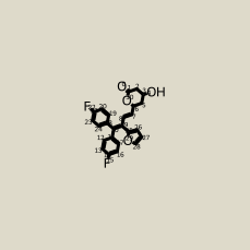 O=C1CC(O)CC(C=CC(=C(c2ccc(F)cc2)c2ccc(F)cc2)c2ccco2)O1